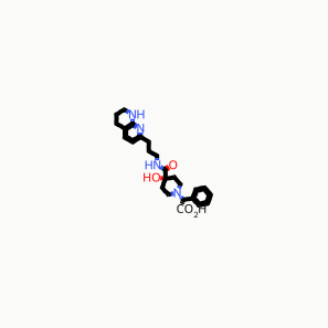 O=C(O)C(c1ccccc1)N1CCC(O)(C(=O)NCCCc2ccc3c(n2)NCCC3)CC1